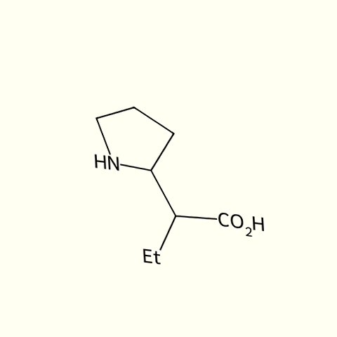 CCC(C(=O)O)C1CCCN1